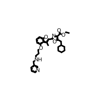 CCOC(=O)c1nc(-c2oc3cccc(OCCCNCc4cccnc4)c3c2C)oc1CC1CCCCC1